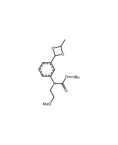 COCCN(C(=O)OC(C)(C)C)c1cccc(C2OC(C)O2)c1